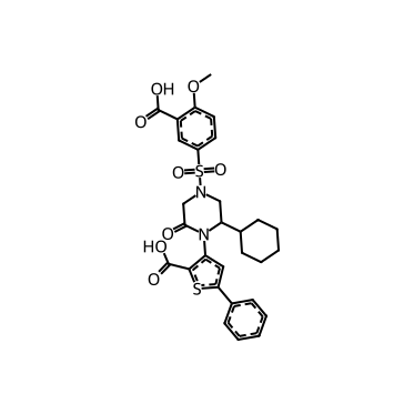 COc1ccc(S(=O)(=O)N2CC(=O)N(c3cc(-c4ccccc4)sc3C(=O)O)C(C3CCCCC3)C2)cc1C(=O)O